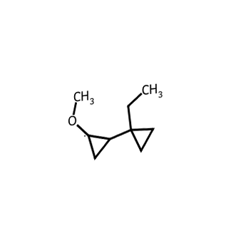 CCC1(C2C[C]2OC)CC1